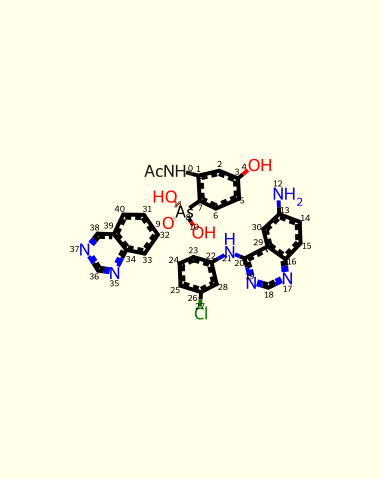 CC(=O)Nc1cc(O)ccc1[As](=O)(O)O.Nc1ccc2ncnc(Nc3cccc(Cl)c3)c2c1.c1ccc2ncncc2c1